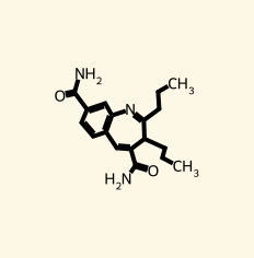 CCCC1=Nc2cc(C(N)=O)ccc2C=C(C(N)=O)C1CCC